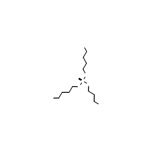 CCCCCOP(=O)(OCCCC)OCCCCC